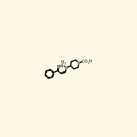 CN(/C=C\C(=N)c1ccccc1)C1CCN(C(=O)O)CC1